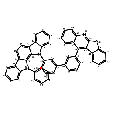 c1ccc(-n2c3ccccc3c3ccc4c5ccccc5n(-c5cccc(-c6cccc(-c7c8ccccc8nc8sc9ccccc9c78)c6)c5)c4c32)cc1